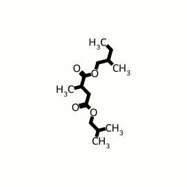 CCC(C)COC(=O)C(C)CC(=O)OCC(C)C